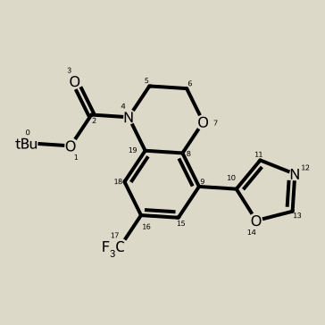 CC(C)(C)OC(=O)N1CCOc2c(-c3cnco3)cc(C(F)(F)F)cc21